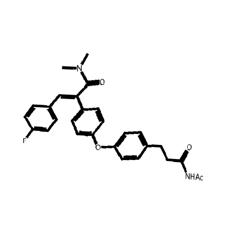 CC(=O)NC(=O)CCc1ccc(Oc2ccc(/C(=C\c3ccc(F)cc3)C(=O)N(C)C)cc2)cc1